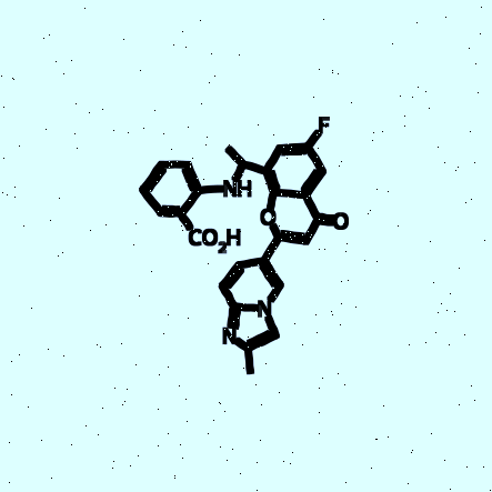 Cc1cn2cc(-c3cc(=O)c4cc(F)cc(C(C)Nc5ccccc5C(=O)O)c4o3)ccc2n1